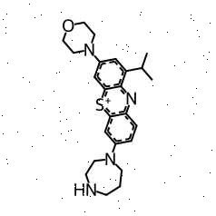 CC(C)c1cc(N2CCOCC2)cc2[s+]c3cc(N4CCCNCC4)ccc3nc12